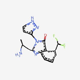 CC(N)c1nc2cccc(C(F)F)c2c(=O)n1-c1cc[nH]n1